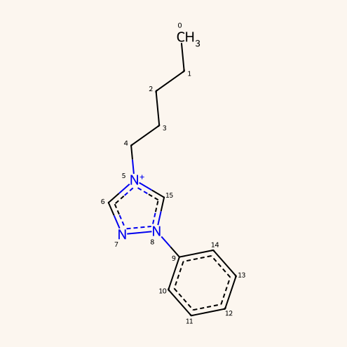 CCCCC[n+]1cnn(-c2ccccc2)c1